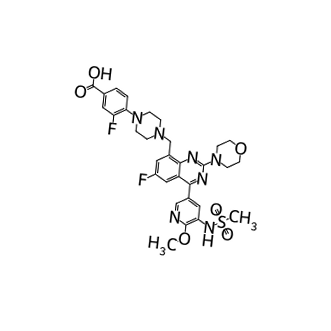 COc1ncc(-c2nc(N3CCOCC3)nc3c(CN4CCN(c5ccc(C(=O)O)cc5F)CC4)cc(F)cc23)cc1NS(C)(=O)=O